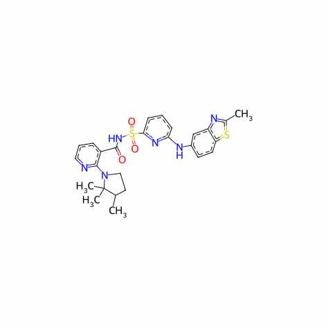 Cc1nc2cc(Nc3cccc(S(=O)(=O)NC(=O)c4cccnc4N4CCC(C)C4(C)C)n3)ccc2s1